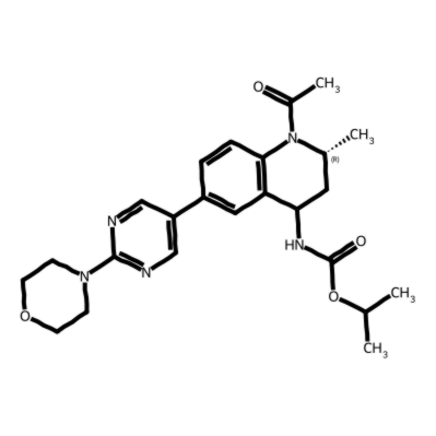 CC(=O)N1c2ccc(-c3cnc(N4CCOCC4)nc3)cc2C(NC(=O)OC(C)C)C[C@H]1C